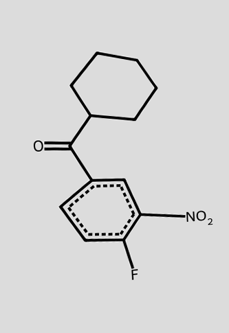 O=C(c1ccc(F)c([N+](=O)[O-])c1)C1CCCCC1